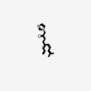 C=C/C=C(\C=C/C=C(C)C)CCC(=O)Cn1ccnc1